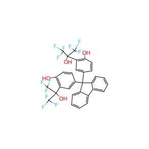 Oc1ccc(C2(c3ccc(O)c(C(O)(C(F)(F)F)C(F)(F)F)c3)c3ccccc3-c3ccccc32)cc1C(O)(C(F)(F)F)C(F)(F)F